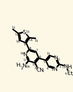 CCNc1ncc(-c2cc(-c3cc(C)sc3C)nc(N)c2C#N)cn1